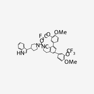 COc1ccc(-c2cc3c(c(-c4ccc(OC)c(OC(F)(F)F)c4)c2)CN(C(=O)N2CCC(c4c[nH]c5ccccc45)CC2)CC3)cc1OC(F)(F)F